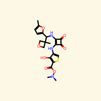 Cc1ccc(C(Nc2c(Nc3csc(C(=O)ON(C)C)c3O)c(=O)c2=O)C2(C)COC2)o1